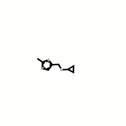 Cc1ncc(COC2CC2)s1